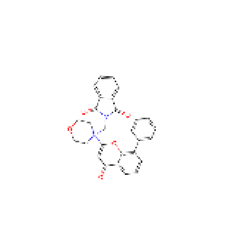 O=C1c2ccccc2C(=O)N1C[N+]1(c2cc(=O)c3cccc(-c4ccccc4)c3o2)CCOCC1